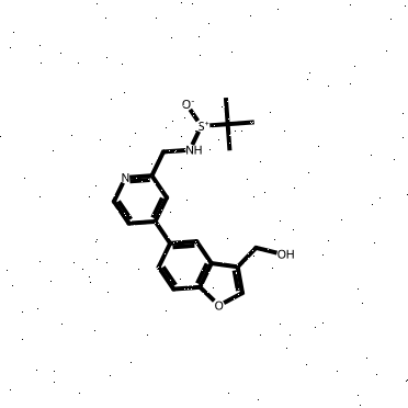 CC(C)(C)[S+]([O-])NCc1cc(-c2ccc3occ(CO)c3c2)ccn1